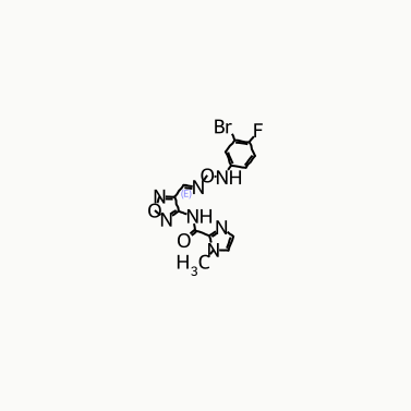 Cn1ccnc1C(=O)Nc1nonc1/C=N/ONc1ccc(F)c(Br)c1